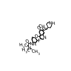 C=C(C(=O)Nc1ccc(Oc2ccnc3cc(OCC4CCNCC4)c(OC)cc23)c(F)c1)N(C)CC